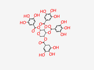 O=C(OC1OCC(OC(=O)C2C=C(O)C(O)=C(O)C2)C(OC(=O)c2cc(O)c(O)c(O)c2)C1OC(=O)c1cc(O)c(O)c(O)c1)c1cc(O)c(O)c(O)c1